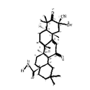 CCNC(=O)[C@]12CCC(C)(C)CC1C1C(=O)C=C3[C@@]4(C)C[C@](O)(C#N)C(=O)C(C)(C)[C@@H]4CC[C@@]3(C)[C@]1(C)CC2